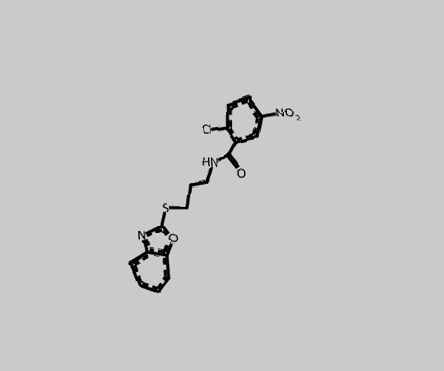 O=C(NCCCSc1nc2ccccc2o1)c1cc([N+](=O)[O-])ccc1Cl